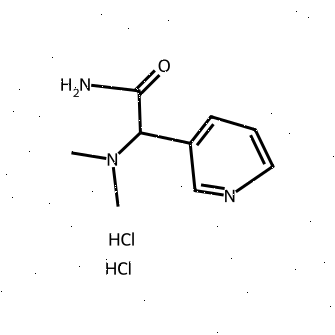 CN(C)C(C(N)=O)c1cccnc1.Cl.Cl